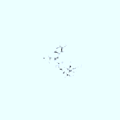 CC(C)(C)OC(=O)N[C@@H](CC(=O)N[C@@H]1CN(C(=O)O)[C@](C(=O)O)(C(C)(C)C)C1)Cc1cc(F)c(F)cc1F